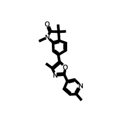 Cc1ccc(-c2nc(C)c(-c3ccc4c(c3)N(C)C(=O)C4(C)C)o2)cn1